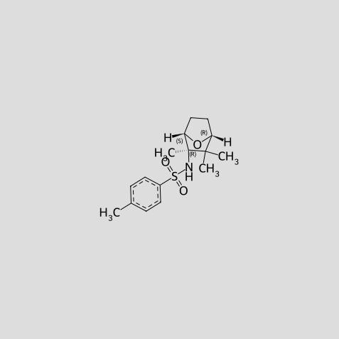 Cc1ccc(S(=O)(=O)N[C@@]2(C)[C@@H]3CC[C@@H](O3)C2(C)C)cc1